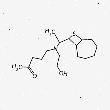 CC(=O)CCCN(CCO)C(C)C1SC2CCCCCC21